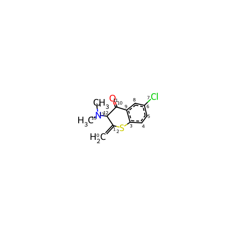 C=C1Sc2ccc(Cl)cc2C(=O)C1N(C)C